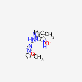 COc1ccccc1N1CCN(CCNN2CC3=C(c4cccnc42)C(C(C)C)C[NH+]([O-])C3)CC1